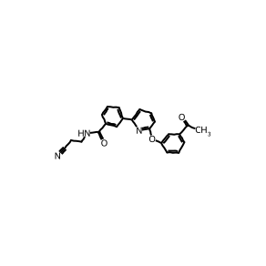 CC(=O)c1cccc(Oc2cccc(-c3cccc(C(=O)NCCC#N)c3)n2)c1